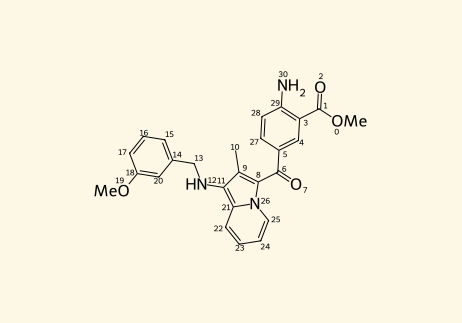 COC(=O)c1cc(C(=O)c2c(C)c(NCc3cccc(OC)c3)c3ccccn23)ccc1N